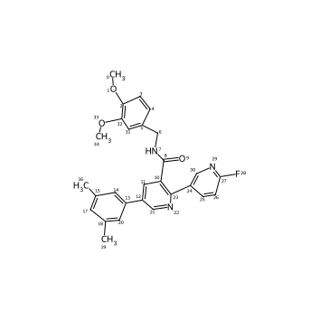 COc1ccc(CNC(=O)c2cc(-c3cc(C)cc(C)c3)cnc2-c2ccc(F)nc2)cc1OC